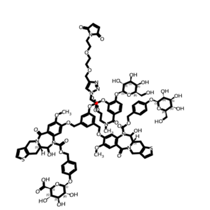 COc1cc2c(cc1OCc1cc(COc3cc4c(cc3OC)C(=O)N3Cc5ccsc5C[C@H]3C(O)N4C(=O)OCc3ccc(O[C@@H]4O[C@H](CO)[C@@H](O)[C@H](O)[C@H]4O)cc3)cc(OS(=O)(=O)Oc3cc(C(=O)N(C)CCOCCn4cc(COCCOCCN5C(=O)C=CC5=O)nn4)ccc3O[C@@H]3O[C@H](CO)[C@H](O)[C@H](O)[C@H]3O)c1)N(C(=O)OCc1ccc(O[C@@H]3O[C@H](C(=O)O)[C@@H](O)[C@H](O)[C@H]3O)cc1)C(O)[C@@H]1Cc3sccc3CN1C2=O